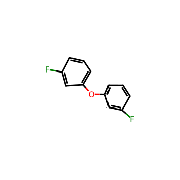 Fc1[c]c(Oc2cccc(F)c2)ccc1